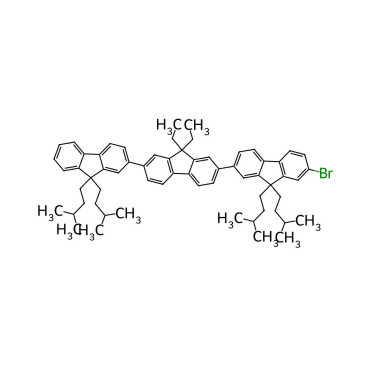 CCC1(CC)c2cc(-c3ccc4c(c3)C(CCC(C)C)(CCC(C)C)c3ccccc3-4)ccc2-c2ccc(-c3ccc4c(c3)C(CCC(C)C)(CCC(C)C)c3cc(Br)ccc3-4)cc21